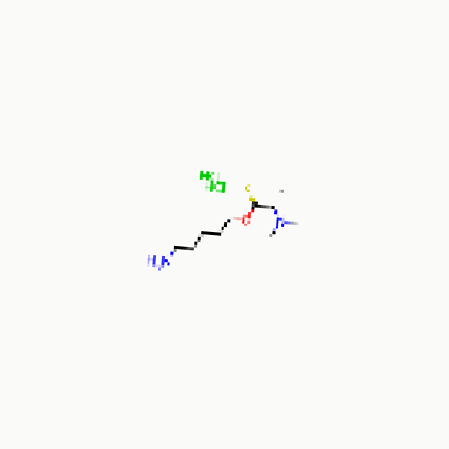 C[C@@H](C(=S)OCCCCCN)N(C)C.Cl.Cl